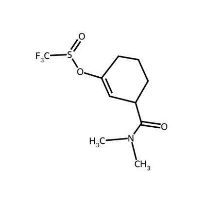 CN(C)C(=O)C1C=C(OS(=O)C(F)(F)F)CCC1